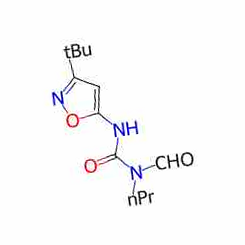 CCCN(C=O)C(=O)Nc1cc(C(C)(C)C)no1